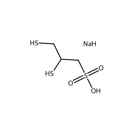 O=S(=O)(O)CC(S)CS.[NaH]